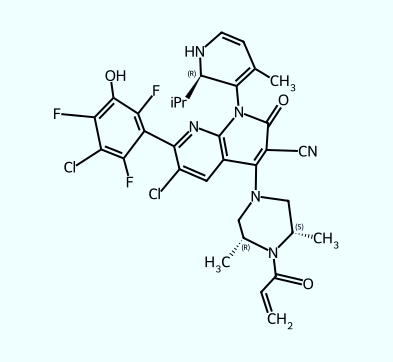 C=CC(=O)N1[C@H](C)CN(c2c(C#N)c(=O)n(C3=C(C)C=CN[C@@H]3C(C)C)c3nc(-c4c(F)c(O)c(F)c(Cl)c4F)c(Cl)cc23)C[C@@H]1C